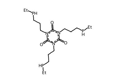 CCPCCCn1c(=O)n(CCCPCC)c(=O)n(CCCPCC)c1=O